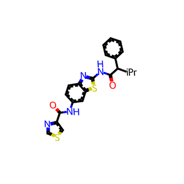 CC(C)C(C(=O)Nc1nc2ccc(NC(=O)c3cscn3)cc2s1)c1ccccc1